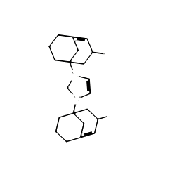 CC1C=C2CCCC(N3C=CN(C45CCCC(=CC(C)C4)C5)C3)(C2)C1